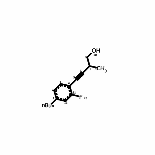 CCCCc1ccc(C#CC(C)CO)c(F)c1